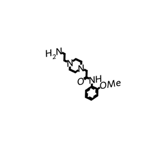 COc1ccccc1NC(=O)CN1CCN(CCN)CC1